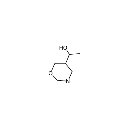 CC(O)C1C[N]COC1